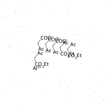 CC(=O)CC(=O)[O-].CC(=O)CC(=O)[O-].CC(=O)CC(=O)[O-].CCOC(=O)CC(C)=O.CCOC(=O)CC(C)=O.CCOC(=O)CC(C)=O.[Al+3]